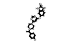 CC(c1ccc(F)cc1)N1CCN(c2cc(Oc3ccc4[nH]c(=O)[nH]c4c3)ncn2)CC1